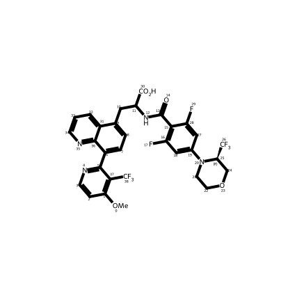 COc1ccnc(-c2ccc(CC(NC(=O)c3c(F)cc(N4CCOC[C@@H]4C(F)(F)F)cc3F)C(=O)O)c3cccnc23)c1C(F)(F)F